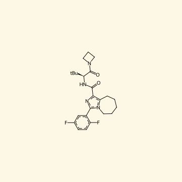 CC(C)(C)[C@H](NC(=O)c1nc(-c2cc(F)ccc2F)n2c1CCCCC2)C(=O)N1CCC1